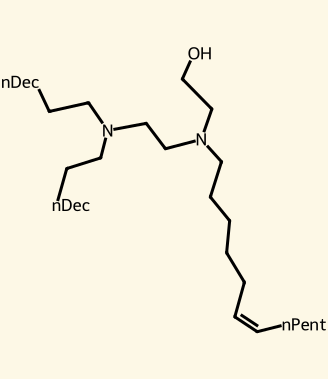 CCCCC/C=C\CCCCCN(CCO)CCN(CCCCCCCCCCCC)CCCCCCCCCCCC